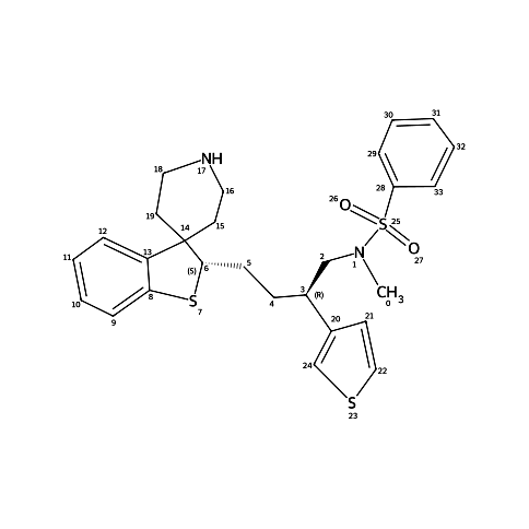 CN(C[C@H](CC[C@@H]1Sc2ccccc2C12CCNCC2)c1ccsc1)S(=O)(=O)c1ccccc1